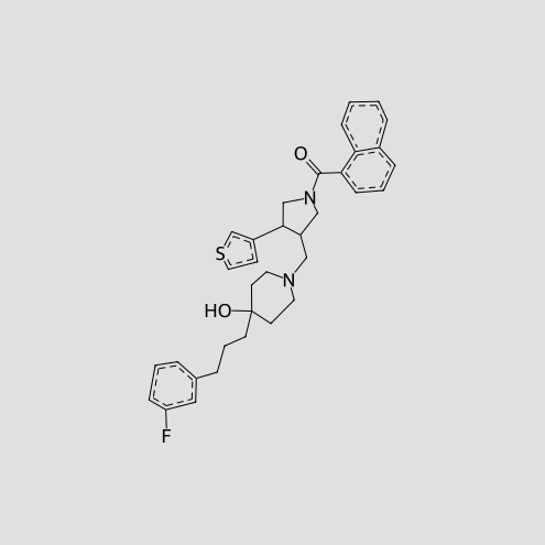 O=C(c1cccc2ccccc12)N1CC(CN2CCC(O)(CCCc3cccc(F)c3)CC2)C(c2ccsc2)C1